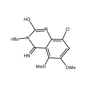 CCCCn1c(O)nc2c(Cl)cc(OC)c(OC)c2c1=N